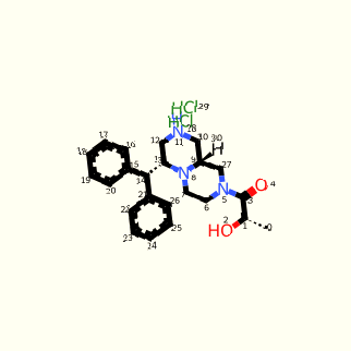 C[C@H](O)C(=O)N1CCN2[C@H](CNC[C@H]2C(c2ccccc2)c2ccccc2)C1.Cl.Cl